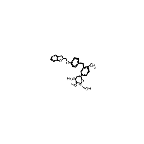 Cc1ccc([C@H]2C[C@@H](O)[C@H](O)[C@@H](CO)O2)cc1Cc1ccc(OCC2Cc3ccccc3O2)cc1